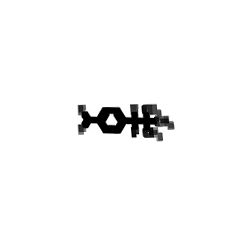 CC(C)(C)C(F)(F)c1ccc(C(F)F)cc1